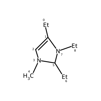 CCC1=CN(C)C(CC)N1CC